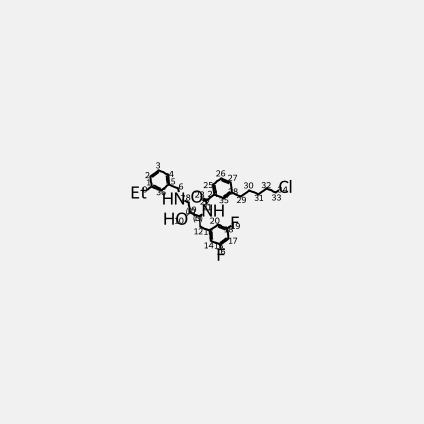 CCc1cccc(CNC[C@@H](O)[C@H](Cc2cc(F)cc(F)c2)NC(=O)c2cccc(CCCCCCl)c2)c1